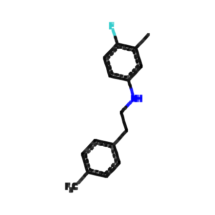 Cc1cc(NCCc2ccc(C(F)(F)F)cc2)ccc1F